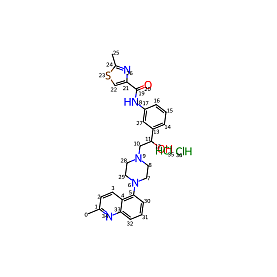 Cc1ccc2c(N3CCN(CC(O)c4cccc(NC(=O)c5csc(C)n5)c4)CC3)cccc2n1.Cl.Cl